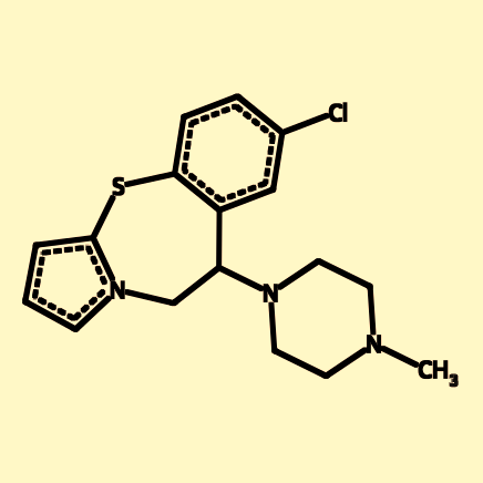 CN1CCN(C2Cn3cccc3Sc3ccc(Cl)cc32)CC1